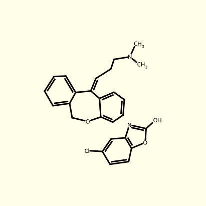 CN(C)CCC=C1c2ccccc2COc2ccccc21.Oc1nc2cc(Cl)ccc2o1